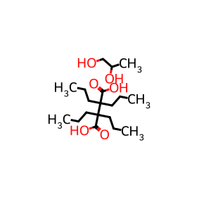 CC(O)CO.CCCC(CCC)(C(=O)O)C(CCC)(CCC)C(=O)O